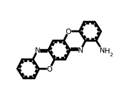 Nc1cccc2c1N=c1cc3c(cc1O2)=Nc1ccccc1O3